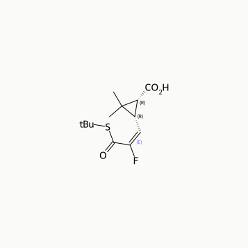 CC(C)(C)SC(=O)/C(F)=C\[C@H]1[C@@H](C(=O)O)C1(C)C